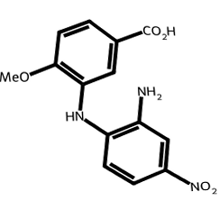 COc1ccc(C(=O)O)cc1Nc1ccc([N+](=O)[O-])cc1N